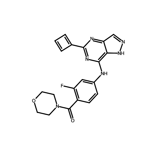 O=C(c1ccc(Nc2nc(C3=CC=C3)nc3cn[nH]c23)cc1F)N1CCOCC1